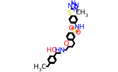 CCc1ccc(C(O)CNCC2CCc3cc(S(=O)(=O)Nc4ccc(Sc5nnnn5C)cc4)ccc3O2)cc1